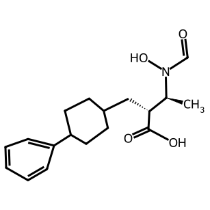 C[C@@H]([C@@H](CC1CCC(c2ccccc2)CC1)C(=O)O)N(O)C=O